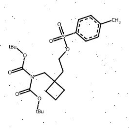 Cc1ccc(S(=O)(=O)OCCC2(CN(C(=O)OC(C)(C)C)C(=O)OC(C)(C)C)CCC2)cc1